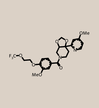 COc1ccnc(C23CCN(C(=O)c4ccc(OCCOC(F)(F)F)c(OC)c4)CC2OCO3)c1